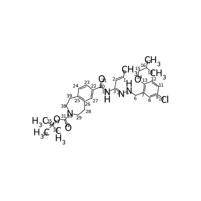 C/C=C/C(=N\NCc1cc(Cl)ccc1OCC(C)C)NC(=O)c1ccc2c(c1)CCN(C(=O)OC(C)(C)C)CC2